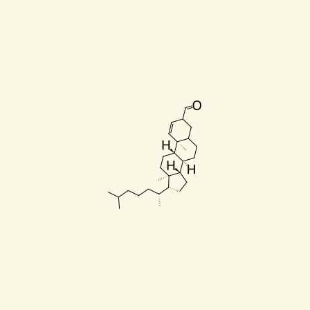 CC(C)CCC[C@@H](C)[C@H]1CC[C@H]2[C@@H]3CCC4CC(C=O)C=C[C@]4(C)[C@H]3CC[C@]12C